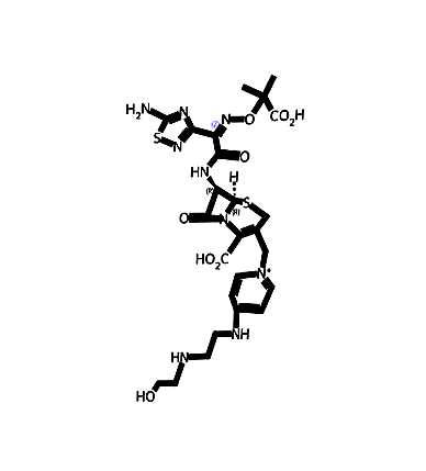 CC(C)(O/N=C(\C(=O)N[C@@H]1C(=O)N2C(C(=O)O)=C(C[n+]3ccc(NCCNCCO)cc3)CS[C@H]12)c1nsc(N)n1)C(=O)O